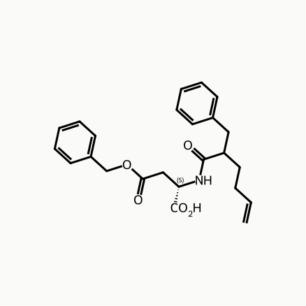 C=CCCC(Cc1ccccc1)C(=O)N[C@@H](CC(=O)OCc1ccccc1)C(=O)O